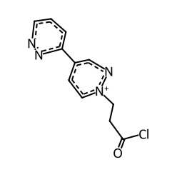 O=C(Cl)CC[n+]1ccc(-c2cccnn2)cn1